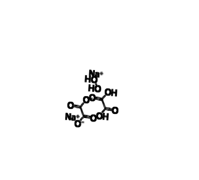 O=C(O)C(=O)O.O=C([O-])C(=O)[O-].OO.[Na+].[Na+]